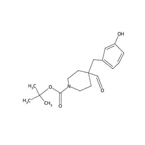 CC(C)(C)OC(=O)N1CCC(C=O)(Cc2cccc(O)c2)CC1